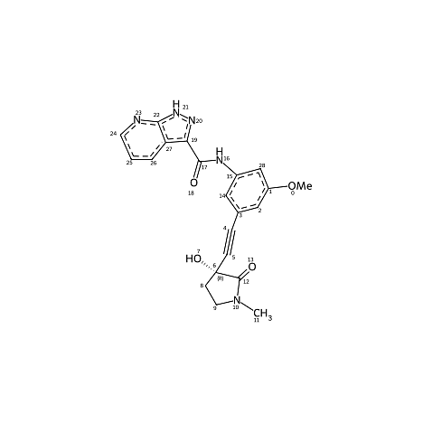 COc1cc(C#C[C@]2(O)CCN(C)C2=O)cc(NC(=O)c2n[nH]c3ncccc23)c1